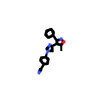 Cc1onc(-c2ccccc2)c1-c1cn(-c2ccc(C#N)cc2)cn1